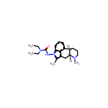 CCN(CC)C(=O)Nn1c(C)c2c3c(cccc31)[C@H]1CCCN(C)[C@@H]1C2